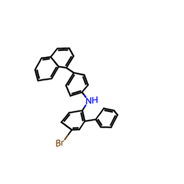 Brc1ccc(Nc2ccc(-c3cccc4ccccc34)cc2)c(-c2ccccc2)c1